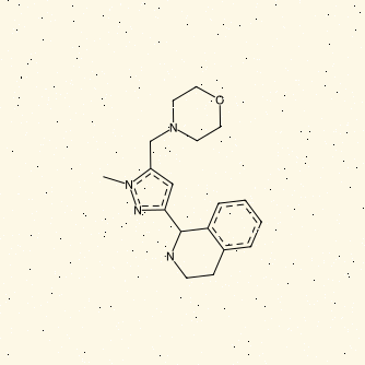 Cn1nc(C2[N]CCc3ccccc32)cc1CN1CCOCC1